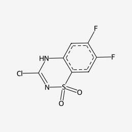 O=S1(=O)N=C(Cl)Nc2cc(F)c(F)cc21